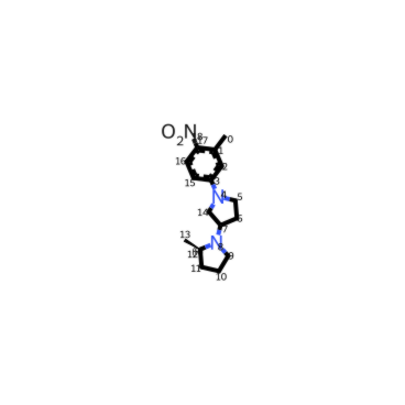 Cc1cc(N2CCC(N3CCC[C@H]3C)C2)ccc1[N+](=O)[O-]